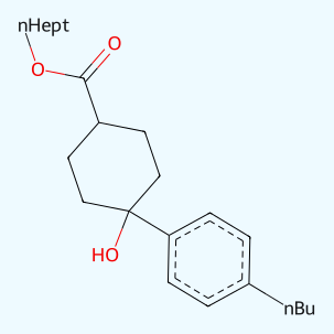 CCCCCCCOC(=O)C1CCC(O)(c2ccc(CCCC)cc2)CC1